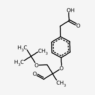 CC(C)(C)OCC(C)(C=O)Oc1ccc(CC(=O)O)cc1